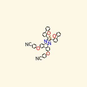 N#Cc1ccc(Oc2ccc3c(c2)c2cc(Oc4ccc(C#N)cc4)ccc2c2nc4c(-c5cccc6c5oc5ccccc56)sc(-c5cccc6c5oc5ccccc56)c4nc32)cc1